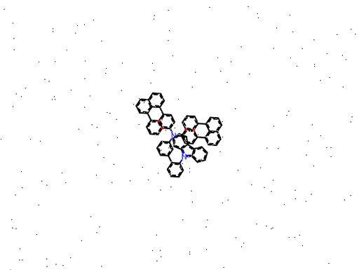 c1ccc(-c2cccc3cccc(-c4ccc(N(c5ccc(-c6cccc7cccc(-c8ccccc8)c67)cc5)c5cccc(-c6ccccc6-n6c7ccccc7c7ccccc76)c5)cc4)c23)cc1